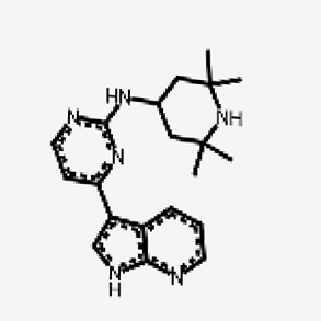 CC1(C)CC(Nc2nccc(-c3c[nH]c4ncccc34)n2)CC(C)(C)N1